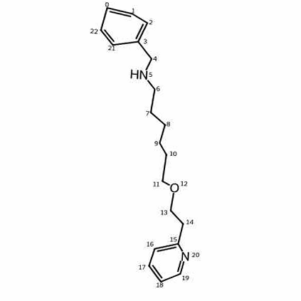 c1ccc(CNCCCCCCOCCc2ccccn2)cc1